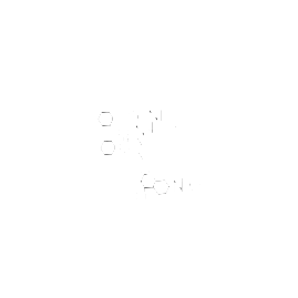 N[C@@H]1C(=O)N2C(C(=O)OC(c3ccccc3)c3ccccc3)=C(/C=C/Sc3cc(=O)c4ccc(N5CCOCC5)cc4s3)CS[C@H]12